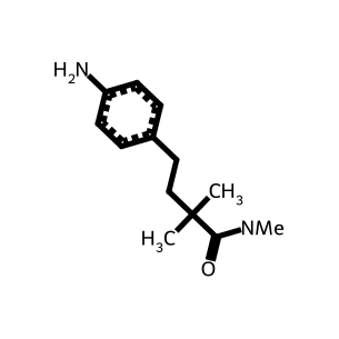 CNC(=O)C(C)(C)CCc1ccc(N)cc1